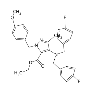 CCOC(=O)c1c(N(Cc2ccc(F)cc2)Cc2ccc(F)cc2)c(C)nn1Cc1ccc(OC)cc1